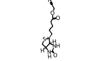 N#CCOC(=O)CCCC[C@@H]1SC[C@@H]2NC(=O)N[C@@H]21